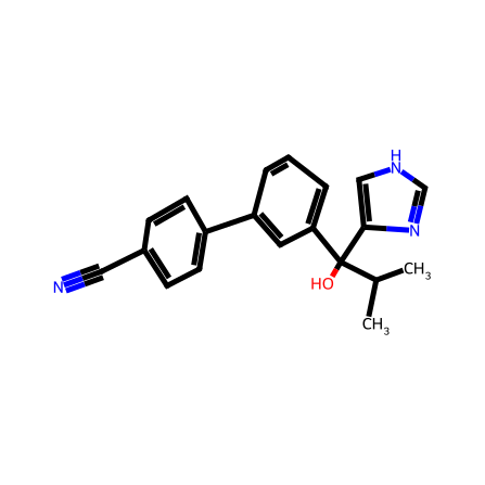 CC(C)C(O)(c1cccc(-c2ccc(C#N)cc2)c1)c1c[nH]cn1